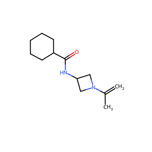 C=C(C)N1CC(NC(=O)C2CCCCC2)C1